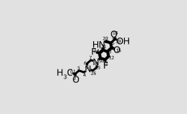 CC(=O)CCN1CCN(c2c(F)cc3c(=O)c(C(=O)O)c[nH]c3c2F)CC1